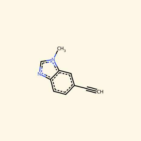 C#Cc1ccc2ncn(C)c2c1